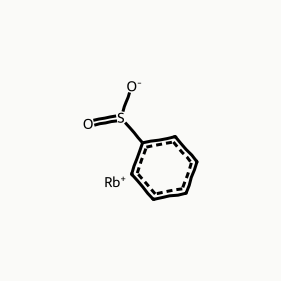 O=S([O-])c1ccccc1.[Rb+]